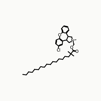 CCCCCCCCCCCCCCCCC(C)(C)C(=O)OC[N+]1(C)CC2c3ccccc3Oc3ccc(Cl)cc3C2C1